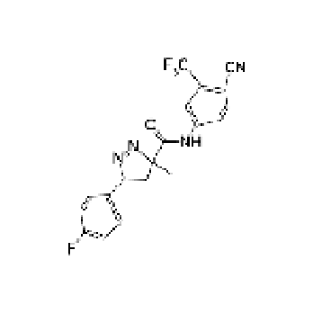 CC1(C(=O)Nc2ccc(C#N)c(C(F)(F)F)c2)CC(c2ccc(F)cc2)N=N1